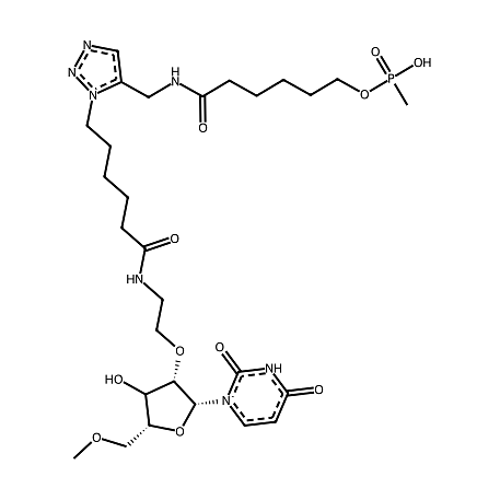 COC[C@H]1O[C@@H](n2ccc(=O)[nH]c2=O)[C@@H](OCCNC(=O)CCCCCn2nncc2CNC(=O)CCCCCOP(C)(=O)O)C1O